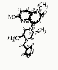 CC1CN(c2cc(=O)n(C)c3ccc(C#N)nc23)[C@@H](C)CN1Cc1cnoc1